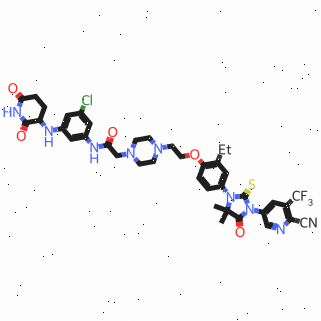 CCc1cc(N2C(=S)N(c3cnc(C#N)c(C(F)(F)F)c3)C(=O)C2(C)C)ccc1OCCN1CCN(CC(=O)Nc2cc(Cl)cc(NC3CCC(=O)NC3=O)c2)CC1